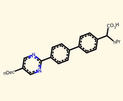 CCCCCCCCCCc1cnc(-c2ccc(-c3ccc(C(CCC)C(=O)O)cc3)cc2)nc1